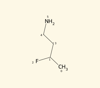 CC(F)[CH]CN